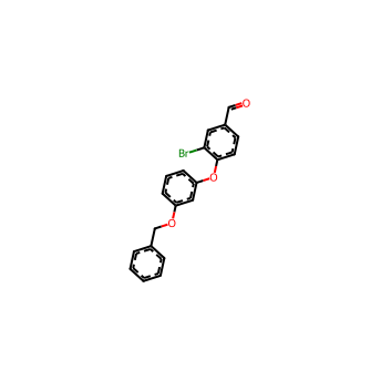 O=Cc1ccc(Oc2cccc(OCc3ccccc3)c2)c(Br)c1